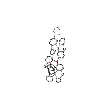 C1=CCC2C(=C1)c1ccccc1C21c2ccccc2Oc2ccc(N(c3ccc4c(c3)C3(c5ccccc5O4)c4cc(C5CCCCC5)ccc4-c4ccc(C5CCCCC5)cc43)c3cccc4sc5ccccc5c34)cc21